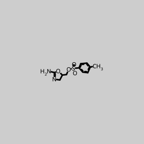 Cc1ccc(S(=O)(=O)OCC2CN=C(N)O2)cc1